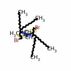 C=c1c(CC(CCCCCCCCCC)CCCCCCCCCCCC)cn(C)/c(=C(C)\C(C)=C2/NC=C(CC(CCCCCCCCCC)CCCCCCCCCCCC)c3c2sc2cc(Br)sc32)sc2cc(Br)sc12